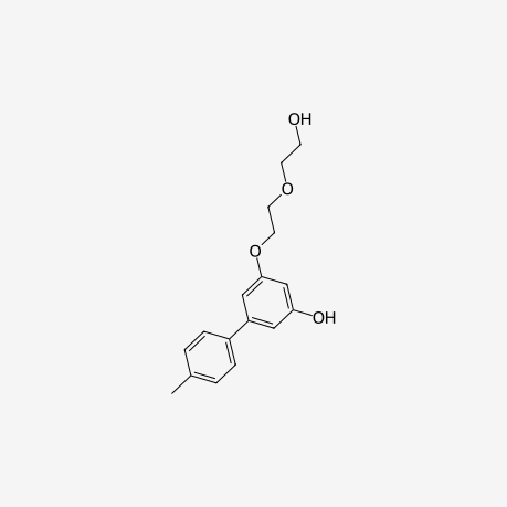 Cc1ccc(-c2cc(O)cc(OCCOCCO)c2)cc1